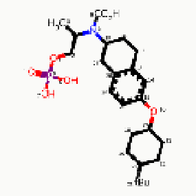 CC(COP(=O)(O)O)N(C(=O)O)C1CCc2cc(OC3CCC(C(C)(C)C)CC3)ccc2C1